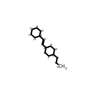 CCCC1CCC(C=CC2CCCCC2)CC1